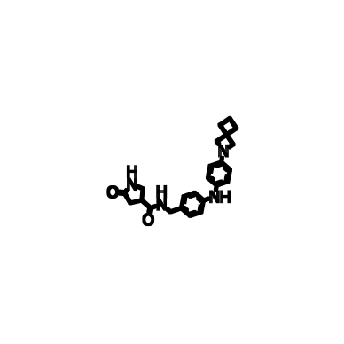 O=C1CC(C(=O)NCc2ccc(Nc3ccc(N4CC5(CCC5)C4)cc3)cc2)CN1